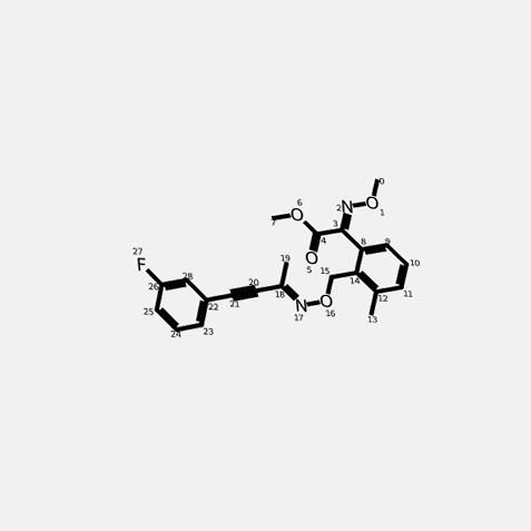 CO/N=C(/C(=O)OC)c1cccc(C)c1CO/N=C(\C)C#Cc1cccc(F)c1